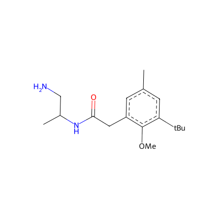 COc1c(CC(=O)NC(C)CN)cc(C)cc1C(C)(C)C